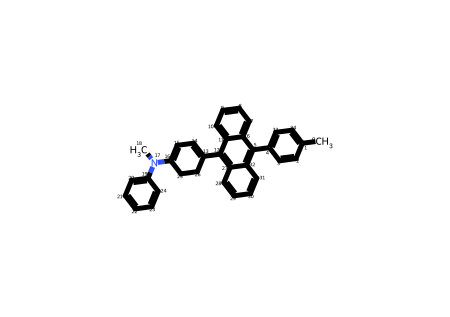 Cc1ccc(-c2c3ccccc3c(C3=CC=C(N(C)c4ccccc4)CC3)c3ccccc23)cc1